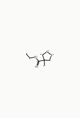 CCOC(=O)C1(C)CSSC1